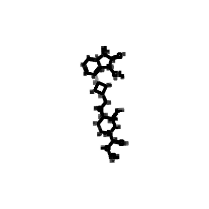 Cn1c(=O)[nH]c2cccc([C@H]3C[C@H](CO[C@@H]4CCN(C(=O)OC(C)(C)C)C[C@@H]4F)C3)c21